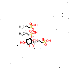 CCCS(=O)(=O)O.CCCS(=O)(=O)O.CCCS(=O)(=O)O.Oc1ccc(O)c(O)c1